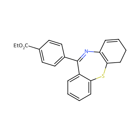 CCOC(=O)c1ccc(C2=NC3=C(CCC=C3)Sc3ccccc32)cc1